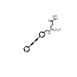 O=C(CCN(NCc1ccc(C#CC#Cc2ccccc2)cc1)C(=O)O)NO